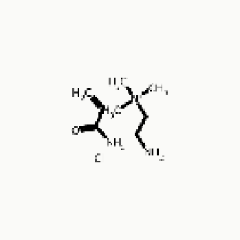 C=CC(N)=O.C[N+](C)(C)CCN.[Cl-]